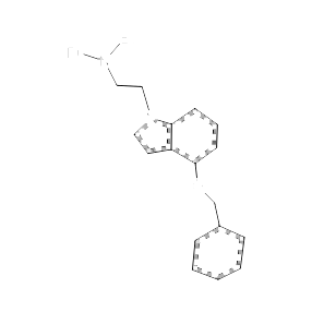 CCN(CC)CCn1ccc2c(OCc3ccccc3)cccc21